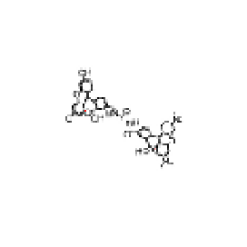 CN(C)c1ccc2c(c1)OC1CC(=[N+](C)C)CCC1=C2c1ccc(C(=O)NCC(=O)NCc2ccc(-c3c4ccc(=O)cc-4oc4cc(O)ccc34)c(C(=O)O)c2)cc1C(=O)O